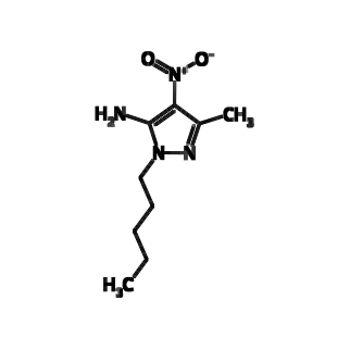 CCCCCn1nc(C)c([N+](=O)[O-])c1N